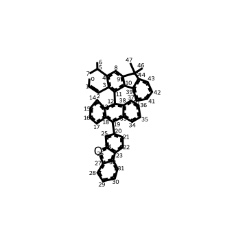 C/C=C\c1c(C(C)C)cc2c(c1-c1c3ccccc3c(-c3ccc4c(c3)oc3ccccc34)c3ccccc13)-c1ccccc1C2(C)C